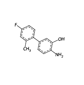 Cc1cc(F)ccc1-c1ccc(N)c(O)c1